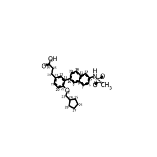 CS(=O)(=O)Nc1ccc2cc(-c3cc(CCC(=O)O)ccc3OCC3CCCC3)ccc2c1